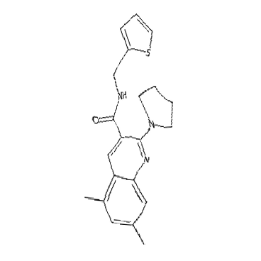 Cc1cc(C)c2cc(C(=O)NCc3cccs3)c(N3CCCC3)nc2c1